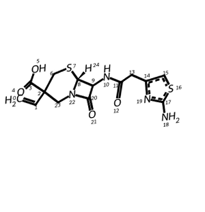 C=CC1(C(=O)O)CS[C@@H]2C(NC(=O)Cc3csc(N)n3)C(=O)N2C1